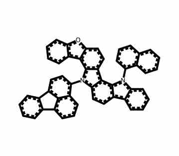 c1ccc2c(c1)-c1cccc3c(-n4c5ccc6c7ccccc7n(-c7cccc8ccccc78)c6c5c5ccc6oc7ccccc7c6c54)ccc-2c13